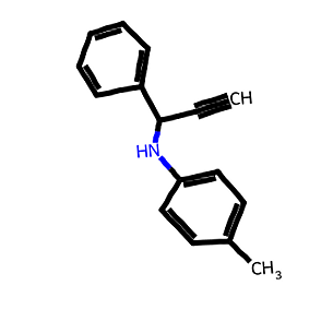 C#CC(Nc1ccc(C)cc1)c1ccccc1